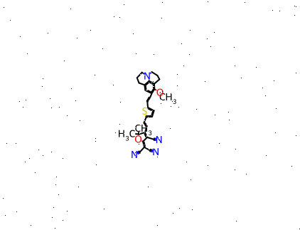 COc1c(/C=C/c2ccc(/C=C/C3=C(C#N)C(=C(C#N)C#N)OC3(C)C)s2)cc2c3c1CCCN3CCC2